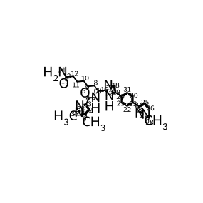 Cc1cc(C(=O)N[C@@H](CCCCCC(N)=O)c2ncc(-c3ccc(-c4ccn(C)n4)cc3)[nH]2)nn1C